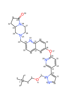 C[Si](C)(C)CCOCn1nccc1-c1ccc(Oc2ccc3nc(CN4CCN5C(=O)CCC5C4)ccc3c2)nc1